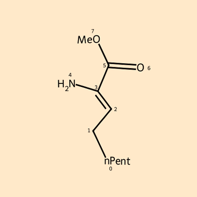 CCCCCCC=C(N)C(=O)OC